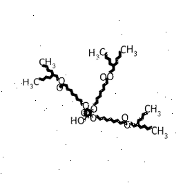 CCCCCC(CCCCC)CCOC(=O)CCCCCCCCO[C@@H]1O[C@H](CO)[C@@H](OCCCCCCCCC(=O)OCCC(CCCCC)CCCCC)[C@H]1OCCCCCCCCC(=O)OCCC(CCCCC)CCCCC